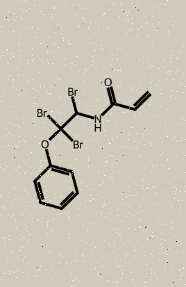 C=CC(=O)NC(Br)C(Br)(Br)Oc1ccccc1